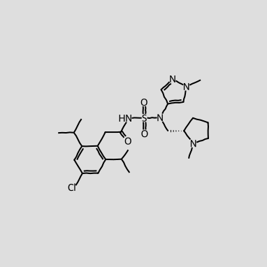 CC(C)c1cc(Cl)cc(C(C)C)c1CC(=O)NS(=O)(=O)N(C[C@@H]1CCCN1C)c1cnn(C)c1